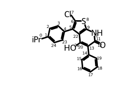 CC(C)c1ccc(-c2c(Cl)sc3[nH]c(=O)c(-c4ccccc4)c(O)c23)cc1